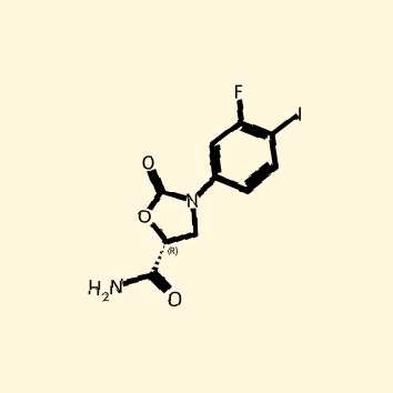 NC(=O)[C@H]1CN(c2ccc(I)c(F)c2)C(=O)O1